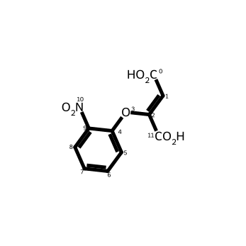 O=C(O)/C=C(\Oc1ccccc1[N+](=O)[O-])C(=O)O